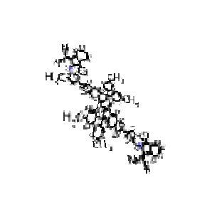 Cc1ccc(C2(c3ccc(C)cc3)c3cc4c(cc3-c3cc5sc(C6=CC(C)C(/C=C7\C(=O)c8ccccc8C7=C(C#N)C#N)S6)cc5cc32)C(c2ccc(C)cc2)(c2ccc(C)cc2)c2cc3cc(-c5ccc(/C=C6\C(=O)c7ccccc7C6=C(C#N)C#N)s5)sc3cc2-4)cc1